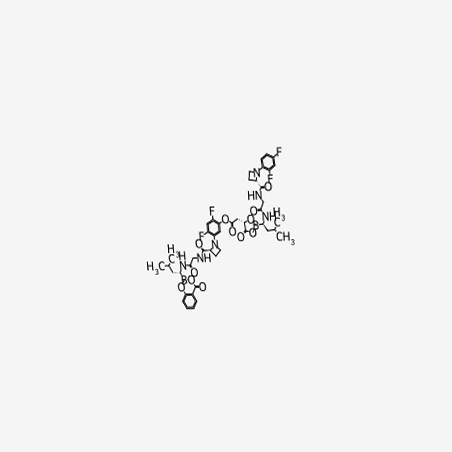 CC(C)C[C@H](NC(=O)CNC(=O)[C@@H]1CCN1c1cc(OC(=O)C[C@@H]2OB([C@H](CC(C)C)NC(=O)CNC(=O)[C@@H]3CCN3c3ccc(F)cc3F)OC2=O)c(F)cc1F)B1OC(=O)c2ccccc2O1